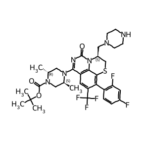 C[C@@H]1CN(c2nc(=O)n3c4c(c(-c5ccc(F)cc5F)c(C(F)(F)F)cc24)SC[C@@H]3CN2CCNCC2)[C@@H](C)CN1C(=O)OC(C)(C)C